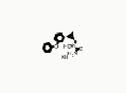 NC(=O)N(O)C[C@@H]1C[C@H]1c1cccc(Oc2ccccc2)c1.[KH]